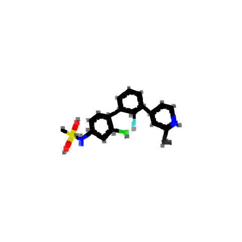 CC(C)(C)c1cc(-c2cccc(-c3ccc(NS(C)(=O)=O)cc3Cl)c2F)ccn1